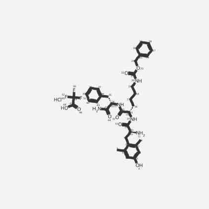 Cc1cc(O)cc(C)c1C[C@H](N)C(=O)N[C@@H](CCCCNC(=O)OCc1ccccc1)C(=O)N[C@@H](Cc1ccccc1)C(N)=O.Cl.O=C(O)C(F)(F)F